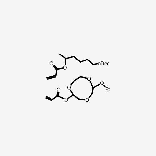 C=CC(=O)OC(C)CCCCCCCCCCCCCC.C=CC(=O)OC1COCC(OCC)OCCO1